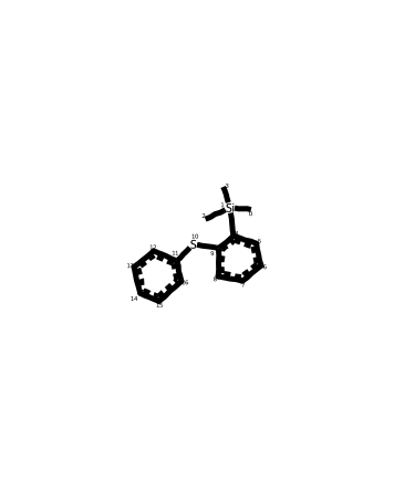 C[Si](C)(C)c1ccccc1Sc1[c]cccc1